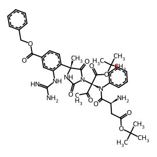 CC(=O)[C@@](C(=O)OC(C)(C)C)(N1C(=O)N[C@](C)(c2ccc(C(=O)OCc3ccccc3)cc2NC(=N)N)C1=O)N(C(=O)[C@@H](N)CC(=O)OC(C)(C)C)c1ccccc1